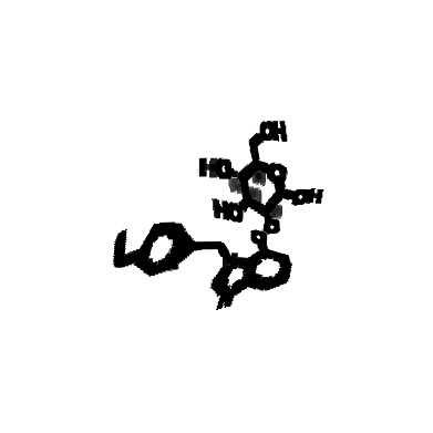 CCc1ccc(Cn2cnc3cccc(OO[C@H]4C(O)O[C@H](CO)[C@@H](O)[C@@H]4O)c32)cc1